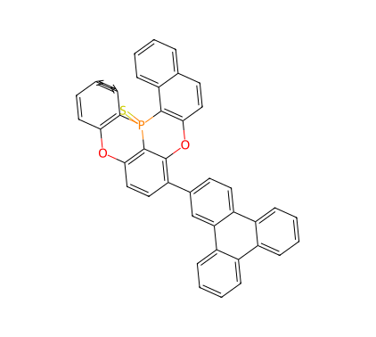 S=P12c3c(ccc(-c4ccc5c6ccccc6c6ccccc6c5c4)c3Oc3ccc4ccccc4c31)Oc1ccc3ccccc3c12